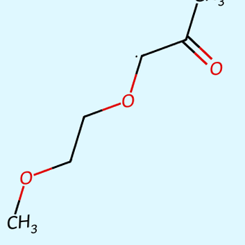 COCCO[CH]C(C)=O